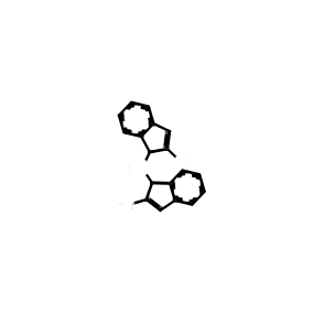 CCCCC1=Cc2ccccc2[CH]1[Hf][CH]1C(CCCC)=Cc2ccccc21